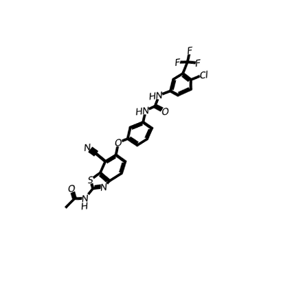 CC(=O)Nc1nc2ccc(Oc3cccc(NC(=O)Nc4ccc(Cl)c(C(F)(F)F)c4)c3)c(C#N)c2s1